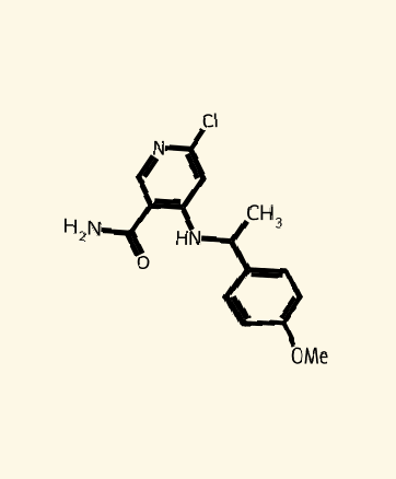 COc1ccc(C(C)Nc2cc(Cl)ncc2C(N)=O)cc1